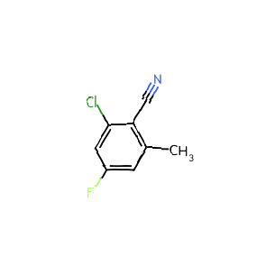 Cc1cc(F)cc(Cl)c1C#N